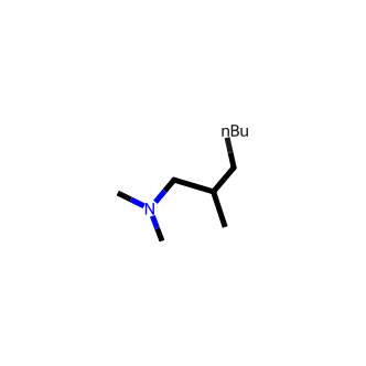 CCCCCC(C)CN(C)C